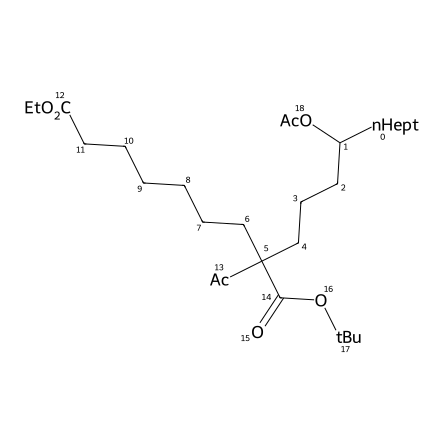 CCCCCCCC(CCCC(CCCCCCC(=O)OCC)(C(C)=O)C(=O)OC(C)(C)C)OC(C)=O